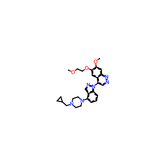 COCCOc1cc2c(-n3ncc4c(N5CCN(CC6CC6)CC5)cccc43)cnnc2cc1OC